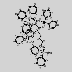 C=C1C(=C(C)P(=O)(c2ccccc2)c2ccccc2)CC(O[Si](c2ccccc2)(c2ccccc2)C(C)(C)C)C(OCCCO[Si](c2ccccc2)(c2ccccc2)C(C)(C)C)C1O[Si](c1ccccc1)(c1ccccc1)C(C)(C)C